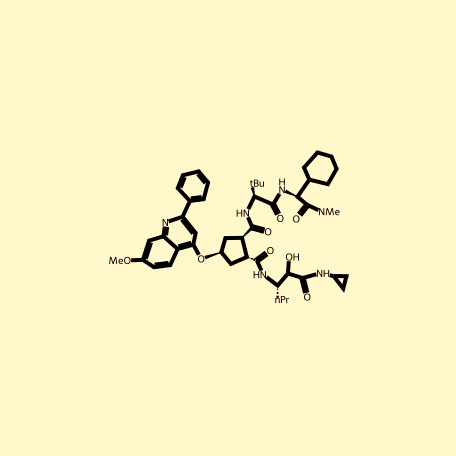 CCC[C@H](NC(=O)[C@@H]1C[C@@H](Oc2cc(-c3ccccc3)nc3cc(OC)ccc23)C[C@H]1C(=O)N[C@H](C(=O)N[C@H](C(=O)NC)C1CCCCC1)C(C)(C)C)C(O)C(=O)NC1CC1